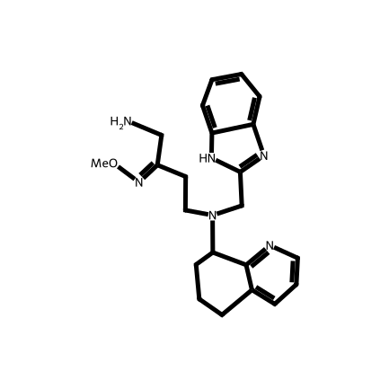 CON=C(CN)CCN(Cc1nc2ccccc2[nH]1)C1CCCc2cccnc21